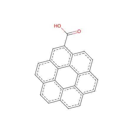 O=C(O)c1cc2ccc3ccc4ccc5ccc6ccc1c1c6c5c4c3c21